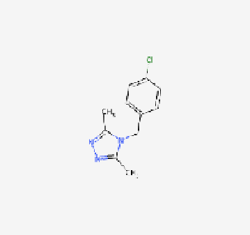 Cc1nnc(C)n1Cc1ccc(Cl)cc1